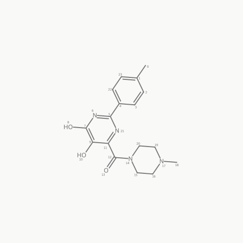 Cc1ccc(-c2nc(O)c(O)c(C(=O)N3CCN(C)CC3)n2)cc1